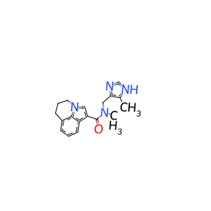 Cc1[nH]cnc1CN(C)C(=O)c1cn2c3c(cccc13)CCC2